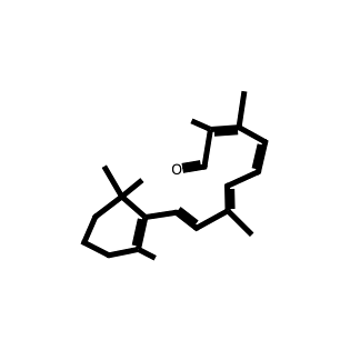 CC(C=CC1=C(C)CCCC1(C)C)=C/C=C\C(C)=C(C)C=O